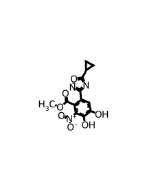 COC(=O)c1c(-c2noc(C3CC3)n2)cc(O)c(O)c1[N+](=O)[O-]